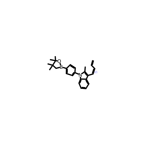 C=C/C=C\c1c(C)n(-c2ccc(B3CC(C)(C)C(C)(C)O3)cc2)c2ccccc12